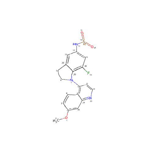 COc1ccc2c(N3CCc4cc(N[SH](=O)=O)cc(F)c43)ccnc2c1